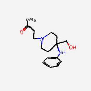 COC(=O)CCN1CCC(CO)(Nc2ccccc2)CC1